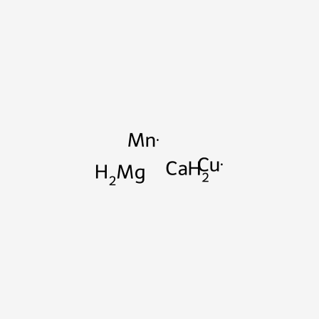 [CaH2].[Cu].[MgH2].[Mn]